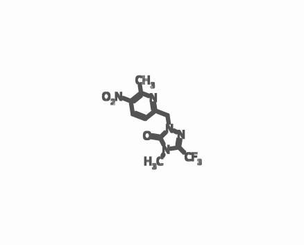 Cc1nc(Cn2nc(C(F)(F)F)n(C)c2=O)ccc1[N+](=O)[O-]